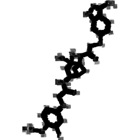 Cc1n[nH]c2cc(OCC(=O)NC34CC(=C(NC(=O)COc5ccc(OC(F)(F)F)c(F)c5)C[C@@H]3O)C4)ccc12